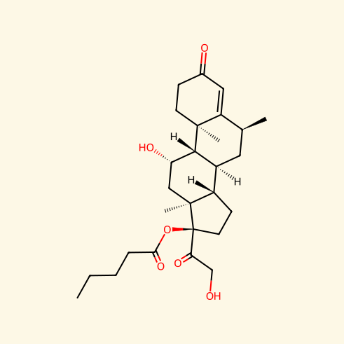 CCCCC(=O)O[C@]1(C(=O)CO)CC[C@H]2[C@@H]3C[C@H](C)C4=CC(=O)CC[C@]4(C)[C@H]3[C@@H](O)C[C@@]21C